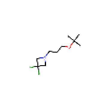 CC(C)(C)OCCCN1CC(F)(F)C1